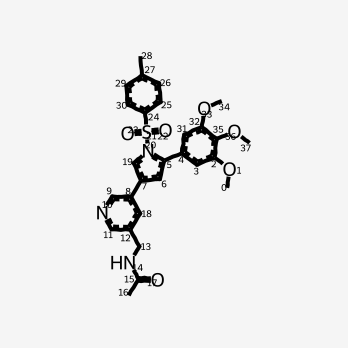 COc1cc(-c2cc(-c3cncc(CNC(C)=O)c3)cn2S(=O)(=O)c2ccc(C)cc2)cc(OC)c1OC